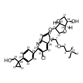 C[Si](C)(C)CCOCn1c(O[C@@H]2CO[C@H]3[C@@H]2OC[C@H]3O)cc2nc(-c3ccc(C4(CO)CC4)cc3)c(Cl)cc21